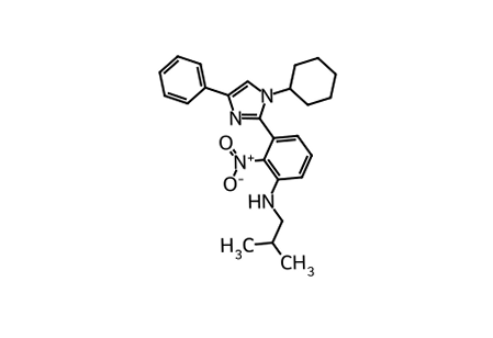 CC(C)CNc1cccc(-c2nc(-c3ccccc3)cn2C2CCCCC2)c1[N+](=O)[O-]